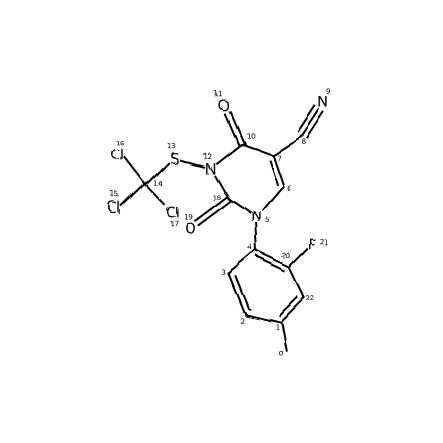 Cc1ccc(-n2cc(C#N)c(=O)n(SC(Cl)(Cl)Cl)c2=O)c(F)c1